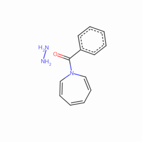 NN.O=C(c1ccccc1)N1C=CC=CC=C1